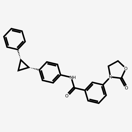 O=C(Nc1ccc([C@@H]2C[C@@H]2c2ccccc2)cc1)c1cccc(N2CCOC2=O)c1